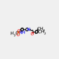 Cc1ccc(C(=O)CCCN2CCC(c3cccc(NS(C)(=O)=O)c3)CC2)cc1C